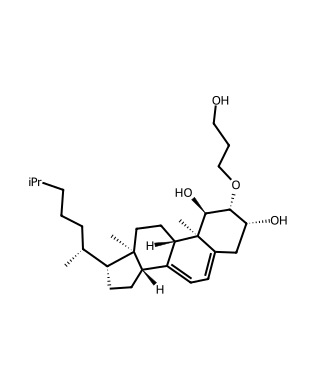 CC(C)CCC[C@@H](C)[C@H]1CC[C@H]2C3=CC=C4C[C@@H](O)[C@@H](OCCCO)[C@H](O)[C@]4(C)[C@H]3CC[C@]12C